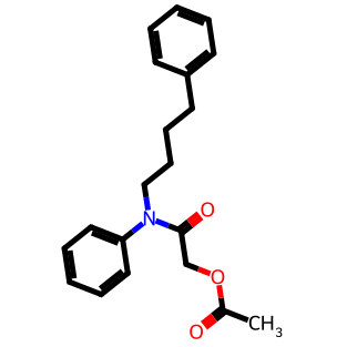 CC(=O)OCC(=O)N(CCCCc1ccccc1)c1ccccc1